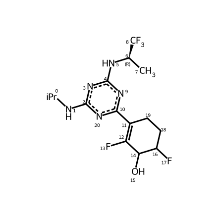 CC(C)Nc1nc(N[C@H](C)C(F)(F)F)nc(C2=C(F)C(O)C(F)CC2)n1